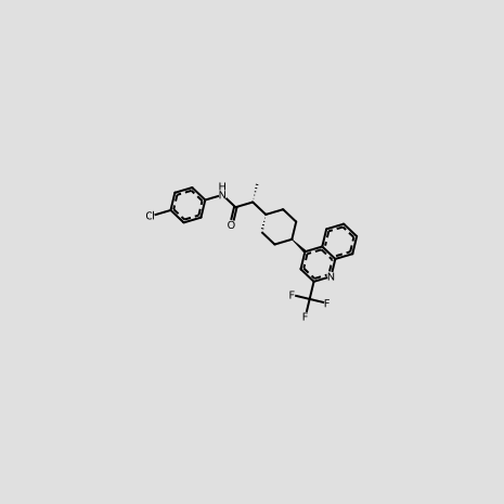 C[C@@H](C(=O)Nc1ccc(Cl)cc1)[C@H]1CC[C@H](c2cc(C(F)(F)F)nc3ccccc32)CC1